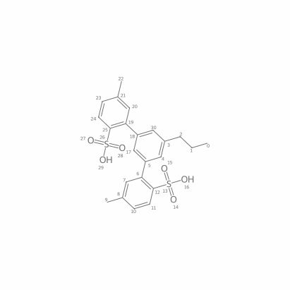 CCCc1cc(-c2cc(C)ccc2S(=O)(=O)O)cc(-c2cc(C)ccc2S(=O)(=O)O)c1